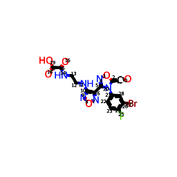 O=C=C1ON=C(c2nonc2NCCNC(=O)C(=O)O)N1c1ccc(F)c(Br)c1